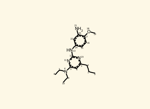 CCCc1cc(N(CC)CC)nc(Nc2ccc(OC)c(N)c2)n1